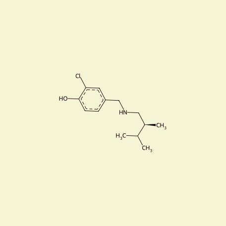 CC(C)[C@H](C)CNCc1ccc(O)c(Cl)c1